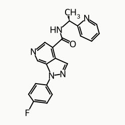 C[C@H](NC(=O)c1cncc2c1cnn2-c1ccc(F)cc1)c1ccccn1